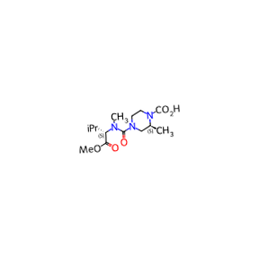 COC(=O)[C@H](C(C)C)N(C)C(=O)N1CCN(C(=O)O)[C@@H](C)C1